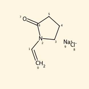 C=CN1CCCC1=O.[Cl-].[Na+]